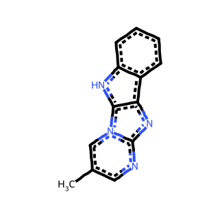 Cc1cnc2nc3c4ccccc4[nH]c3n2c1